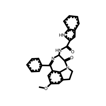 COc1cc2c3c(c1)C(c1ccccc1)=NC(NC(=O)c1cc4ccccc4[nH]1)C(=O)N3CC2